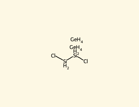 Cl[SiH2][SiH2]Cl.[GeH4].[GeH4]